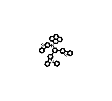 c1ccc(-n2c3ccccc3c3ccc(-c4cc(-c5ccc6c(c5)sc5ccccc56)cc(N(c5ccc6sc7ccccc7c6c5)c5cc6cccc7ccc8cccc5c8c76)c4)cc32)cc1